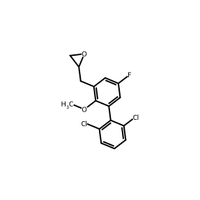 COc1c(CC2CO2)cc(F)cc1-c1c(Cl)cccc1Cl